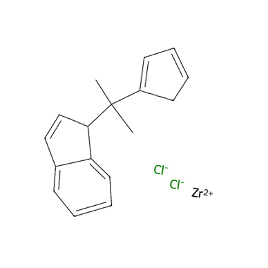 CC(C)(C1=CC=CC1)C1C=Cc2ccccc21.[Cl-].[Cl-].[Zr+2]